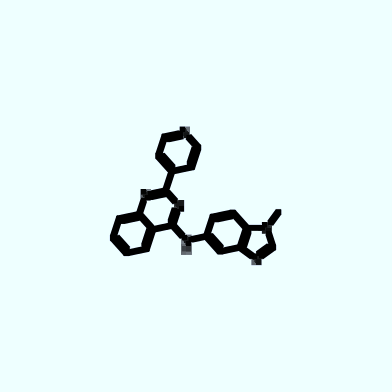 Cn1cnc2cc(Nc3nc(-c4ccncc4)nc4ccccc34)ccc21